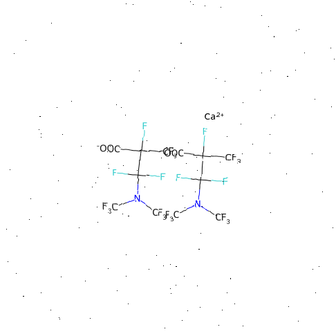 O=C([O-])C(F)(C(F)(F)F)C(F)(F)N(C(F)(F)F)C(F)(F)F.O=C([O-])C(F)(C(F)(F)F)C(F)(F)N(C(F)(F)F)C(F)(F)F.[Ca+2]